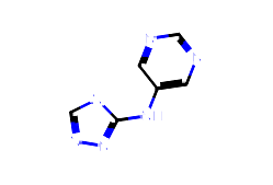 C1=NN=C(Nc2cncnc2)[N]1